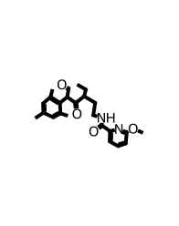 CCC(CCNC(=O)c1cccc(OC)n1)C(=O)C(C=O)c1c(C)cc(C)cc1C